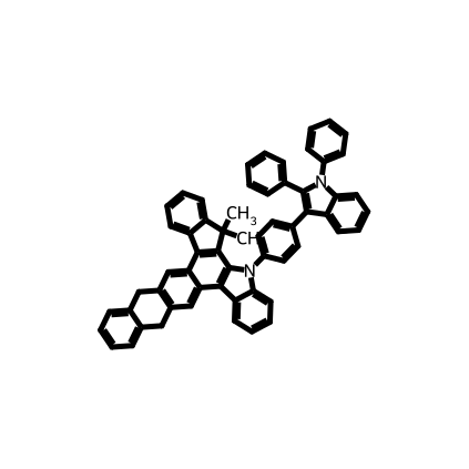 CC1(C)c2ccccc2-c2c1c1c(c3cc4c(cc23)Cc2ccccc2C4)c2ccccc2n1-c1ccc(-c2c(-c3ccccc3)n(-c3ccccc3)c3ccccc23)cc1